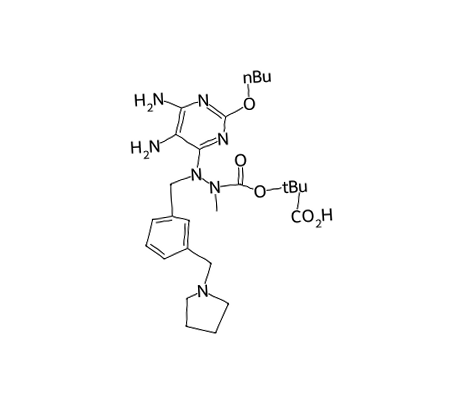 CC(=O)O.CCCCOc1nc(N)c(N)c(N(Cc2cccc(CN3CCCC3)c2)N(C)C(=O)OC(C)(C)C)n1